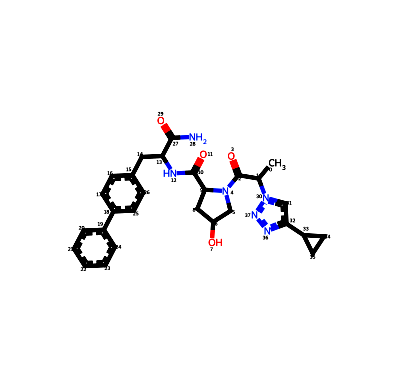 CC(C(=O)N1CC(O)CC1C(=O)NC(Cc1ccc(-c2ccccc2)cc1)C(N)=O)n1cc(C2CC2)nn1